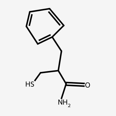 NC(=O)C(CS)Cc1ccccc1